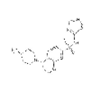 O=S(=O)(Nc1ncns1)c1ccc2c(c1)OCCC2N1CCC(C(F)(F)F)CC1